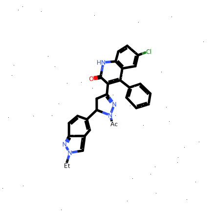 CCn1cc2cc(C3CC(c4c(-c5ccccc5)c5cc(Cl)ccc5[nH]c4=O)=NN3C(C)=O)ccc2n1